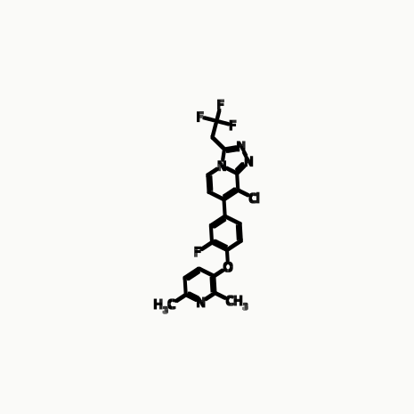 Cc1ccc(Oc2ccc(-c3ccn4c(CC(F)(F)F)nnc4c3Cl)cc2F)c(C)n1